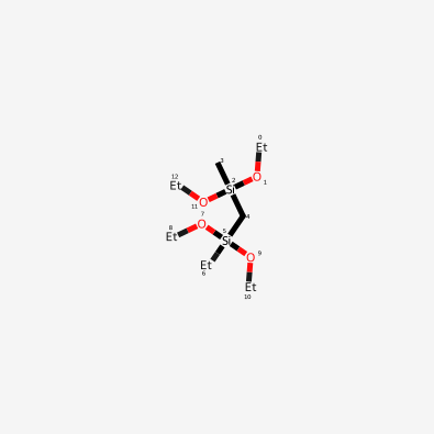 CCO[Si](C)(C[Si](CC)(OCC)OCC)OCC